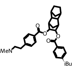 CC[C@@H](C)c1ccc(C(=O)OC2C3CC(C2OC(=O)c2ccc(CCNC)cc2)C2C4CCC(C4)C32)cc1